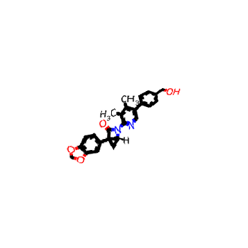 Cc1c(-c2ccc(CO)cc2)cnc(N2C(=O)C3(c4ccc5c(c4)OCO5)C[C@@H]23)c1C